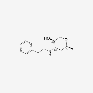 C[C@H]1C[C@H](NCCc2ccccc2)[C@@H](O)CO1